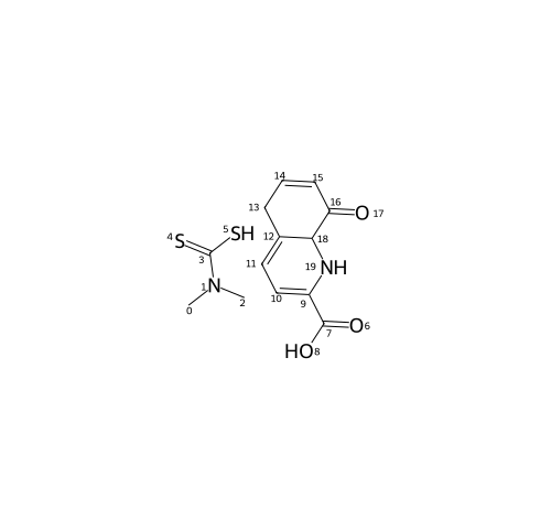 CN(C)C(=S)S.O=C(O)C1=CC=C2CC=CC(=O)C2N1